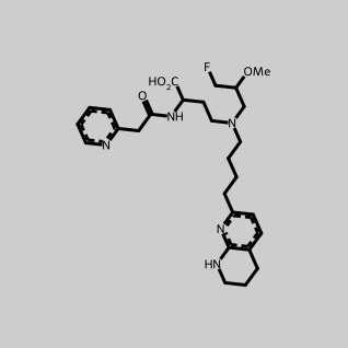 COC(CF)CN(CCCCc1ccc2c(n1)NCCC2)CCC(NC(=O)Cc1ccccn1)C(=O)O